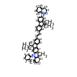 CCc1ccccc1N(C1=C(C)CCC=C1)c1ccc2c(c1)C(C)(C)c1cc(/C=C/c3ccc4c(c3)C(C)(C)c3cc(N5CCCc6ccccc65)ccc3-4)ccc1-2